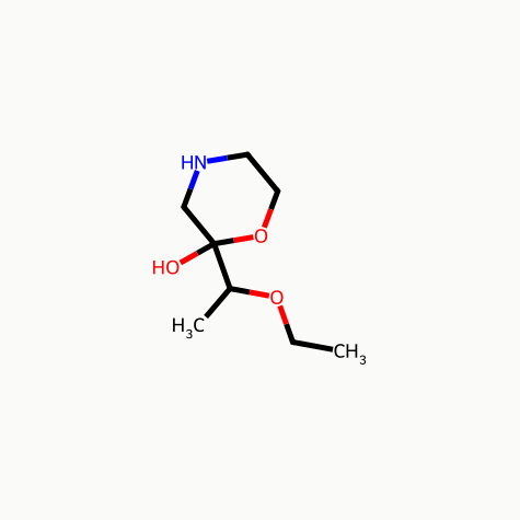 CCOC(C)C1(O)CNCCO1